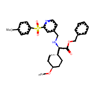 CCCO[C@H]1CC[C@H]([C@@H](NCc2ccnc(S(=O)(=O)c3ccc(OC)cc3)c2)C(=O)OCc2ccccc2)CC1